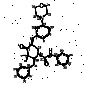 CC1(C)C(=O)/C(=C/c2cccc(N3CCOCC3)n2)CN(C(=O)Nc2ccccc2)C1Cc1ccccc1